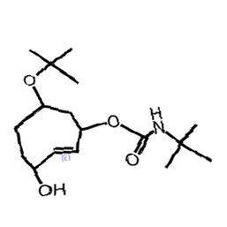 CC(C)(C)NC(=O)OC1/C=C/C(O)CCC(OC(C)(C)C)C1